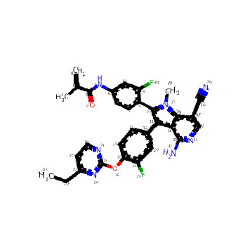 C=C(C)C(=O)Nc1ccc(-c2c(-c3ccc(Oc4nccc(CC)n4)c(F)c3)c3c(N)ncc(C#N)c3n2C)c(F)c1